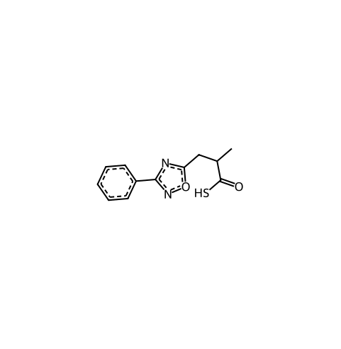 CC(Cc1nc(-c2ccccc2)no1)C(=O)S